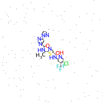 C[C@@H](NC(=O)c1cc(-n2cccn2)ncn1)c1ncc(C(O)Nc2cc(C(F)(F)F)c(Cl)cn2)s1